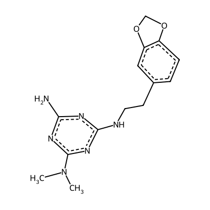 CN(C)c1nc(N)nc(NCCc2ccc3c(c2)OCO3)n1